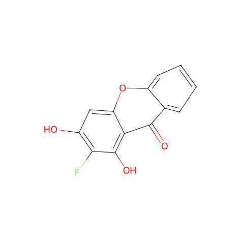 O=c1c2ccccc2oc2cc(O)c(F)c(O)c12